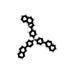 c1ccc2cc(-c3ccc(N(c4ccc(-c5ccc6ccccc6c5)cc4)c4ccc(-c5cc6ccc7ccccc7c6s5)cc4)cc3)ccc2c1